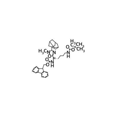 CN1OC([C@H](CCCCNC(=O)OC(C)(C)C)NC(=O)OCC2c3ccccc3-c3ccccc32)=NC1C12CC3CC(CC(C3)C1)C2